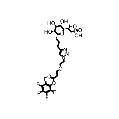 O=C(CCOCCn1cc(CCC[C@H]2O[C@H](CCP(=O)(O)O)[C@@H](O)[C@H](O)[C@@H]2O)nn1)Oc1c(F)c(F)c(F)c(F)c1F